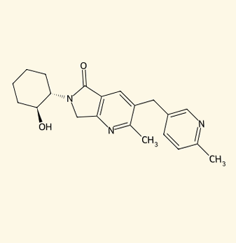 Cc1ccc(Cc2cc3c(nc2C)CN([C@H]2CCCC[C@@H]2O)C3=O)cn1